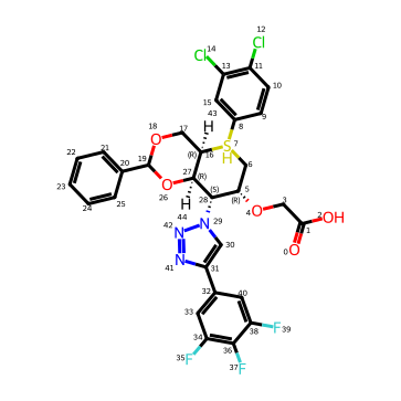 O=C(O)CO[C@H]1C[SH](c2ccc(Cl)c(Cl)c2)[C@@H]2COC(c3ccccc3)O[C@@H]2[C@H]1n1cc(-c2cc(F)c(F)c(F)c2)nn1